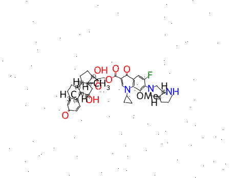 COc1c(N2C[C@@H]3CCCN[C@@H]3C2)c(F)cc2c(=O)c(C(=O)OCC(=O)[C@]3(O)CC[C@@H]4[C@H]5CCC6=CC(=O)C=C[C@@]6(C)[C@@H]5[C@H](O)C[C@]43C)cn(C3CC3)c12